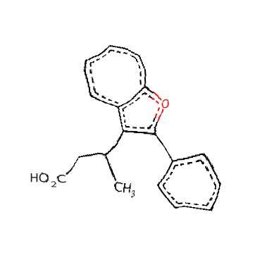 CC(CC(=O)O)c1c(-c2ccccc2)oc2ccccc12